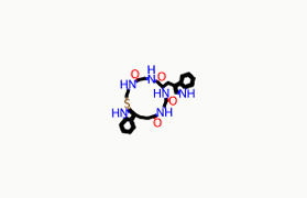 O=C1CCc2c([nH]c3ccccc23)SCCNC(=O)CNC(=O)C(Cc2c[nH]c3ccccc23)NC(=O)CN1